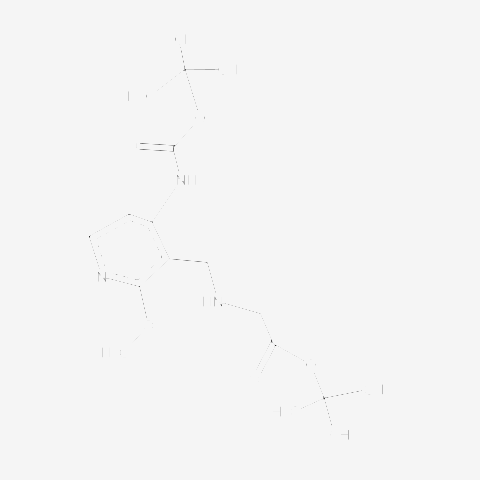 COc1nccc(NC(=O)OC(C)(C)C)c1CNCC(=O)OC(C)(C)C